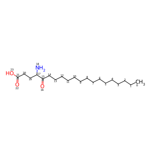 CCCCCCCCCCCCCCCC(=O)C(N)CCC(=O)O